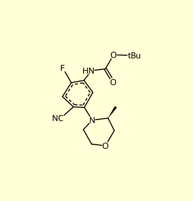 C[C@H]1COCCN1c1cc(NC(=O)OC(C)(C)C)c(F)cc1C#N